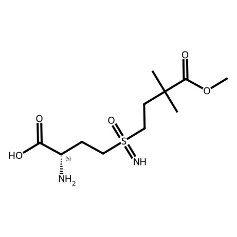 COC(=O)C(C)(C)CCS(=N)(=O)CC[C@H](N)C(=O)O